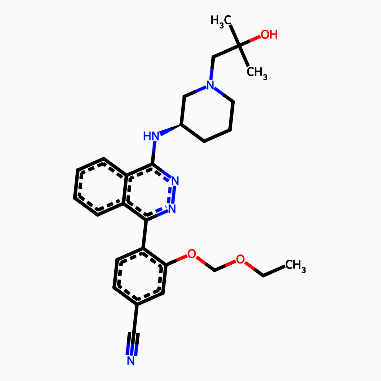 CCOCOc1cc(C#N)ccc1-c1nnc(N[C@@H]2CCCN(CC(C)(C)O)C2)c2ccccc12